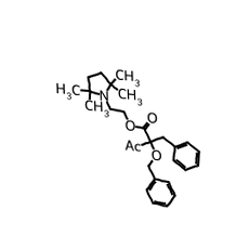 CC(=O)C(Cc1ccccc1)(OCc1ccccc1)C(=O)OCCN1C(C)(C)CCC1(C)C